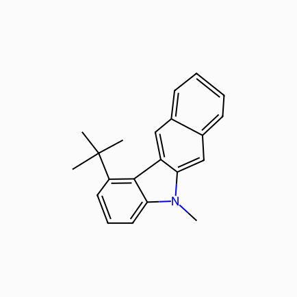 Cn1c2cc3ccccc3cc2c2c(C(C)(C)C)cccc21